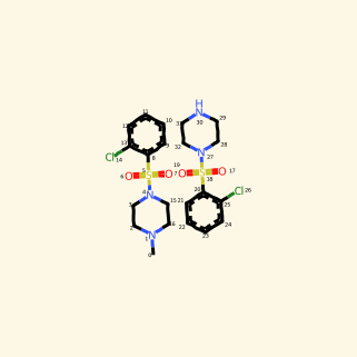 CN1CCN(S(=O)(=O)c2ccccc2Cl)CC1.O=S(=O)(c1ccccc1Cl)N1CCNCC1